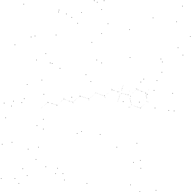 CCCCCCCCCC[Si](C)(C)N1CCNCC1